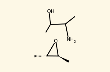 CC(N)C(C)O.C[C@@H]1O[C@H]1C